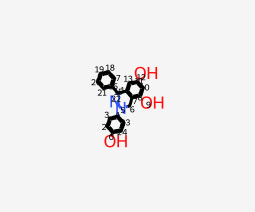 Oc1ccc(N2Cc3c(O)cc(O)cc3C(c3ccccc3)=N2)cc1